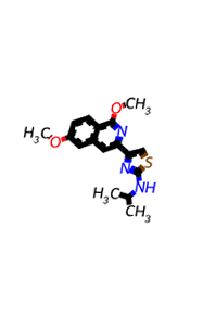 COc1ccc2c(OC)nc(-c3csc(NC(C)C)n3)cc2c1